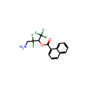 NCC(F)(F)C(OC(=O)c1cccc2ccccc12)C(F)(F)F